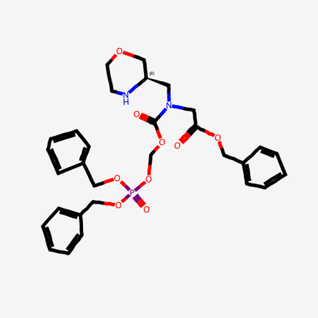 O=C(CN(C[C@@H]1COCCN1)C(=O)OCOP(=O)(OCc1ccccc1)OCc1ccccc1)OCc1ccccc1